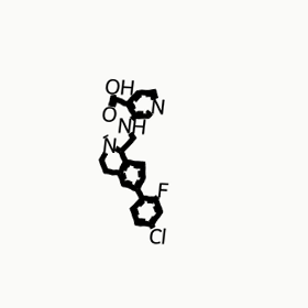 CN1CCc2cc(-c3ccc(Cl)cc3F)ccc2C1CNc1cnccc1C(=O)O